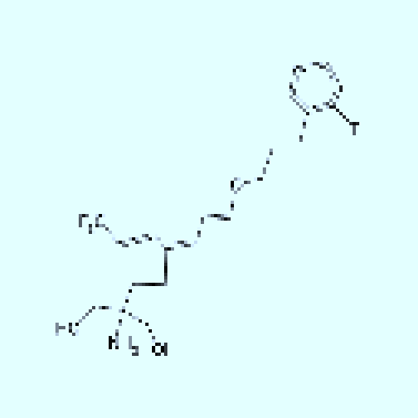 NC(CO)(CO)CCC(=C/C=C/OCCCc1ccccc1F)/C=C/C(F)(F)F